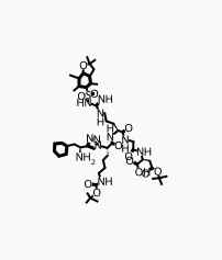 Cc1c(C)c(S(=O)(=O)NC(=N)NCCC[C@H](NC(=O)[C@H](CCCCNC(=O)OC(C)(C)C)n2cc([C@@H](N)Cc3ccccc3)nn2)C(=O)NCC(=O)N[C@@H](CC(=O)OC(C)(C)C)C(=O)O)c(C)c2c1OC(C)(C)C2